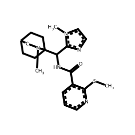 CSc1ncccc1C(=O)NC(c1nccn1C)C12CCC(CC1)CN2C